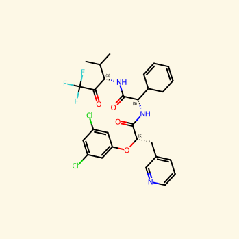 CC(C)[C@H](NC(=O)[C@@H](NC(=O)[C@H](Cc1cccnc1)Oc1cc(Cl)cc(Cl)c1)C1C=CC=CC1)C(=O)C(F)(F)F